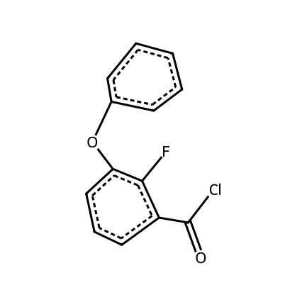 O=C(Cl)c1cccc(Oc2ccccc2)c1F